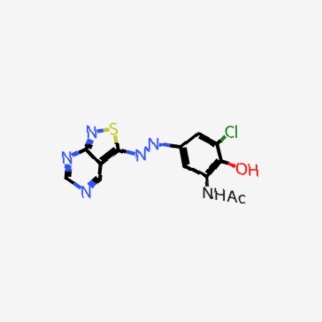 CC(=O)Nc1cc(/N=N/c2snc3ncncc23)cc(Cl)c1O